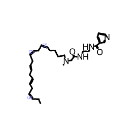 CC/C=C\CC=CCC=CC/C=C\C/C=C\CCCCN(C)CC(=O)NCCNC(=O)c1cccnc1